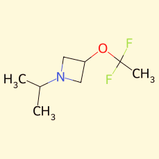 CC(C)N1CC(OC(C)(F)F)C1